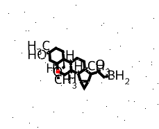 BCC(=O)C1C2CC2[C@H]2[C@@H]3CC[C@@H]4C[C@](C)(O)CC[C@]4(COC)[C@H]3CC[C@]12C